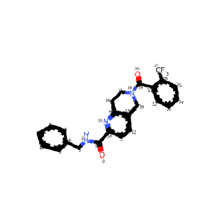 O=C(NCc1ccccc1)c1ccc2c(n1)CCN(C(=O)c1ccccc1C(F)(F)F)C2